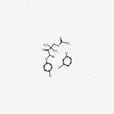 CC(=O)OCC(C)(C)C(=O)C(Br)Oc1ccc(Cl)cc1.Clc1cccc(Cl)c1